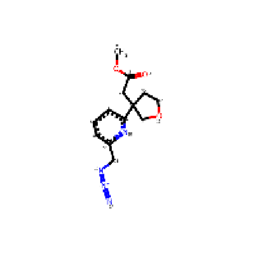 COC(=O)CC1(c2cccc(CN=[N+]=[N-])n2)CCOC1